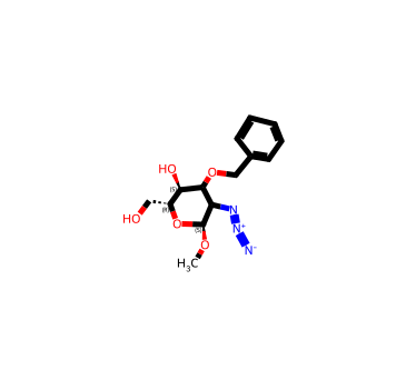 CO[C@H]1O[C@H](CO)[C@@H](O)C(OCc2ccccc2)C1N=[N+]=[N-]